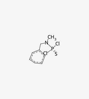 CN(Cc1ccccc1)P(=S)(Cl)Cl